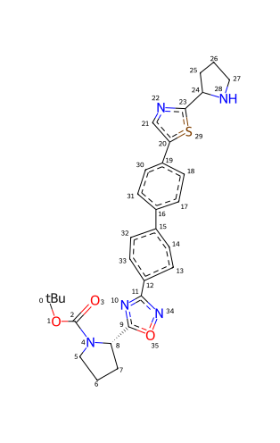 CC(C)(C)OC(=O)N1CCC[C@H]1c1nc(-c2ccc(-c3ccc(-c4cnc(C5CCCN5)s4)cc3)cc2)no1